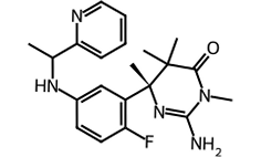 CC(Nc1ccc(F)c([C@@]2(C)N=C(N)N(C)C(=O)C2(C)C)c1)c1ccccn1